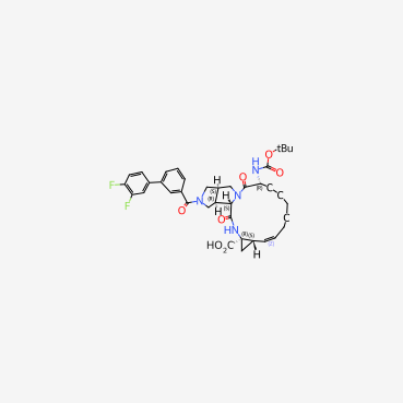 CC(C)(C)OC(=O)N[C@@H]1CCCCC/C=C\[C@@H]2C[C@@]2(C(=O)O)NC(=O)[C@@H]2[C@H]3CN(C(=O)c4cccc(-c5ccc(F)c(F)c5)c4)C[C@H]3CN2C1=O